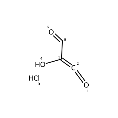 Cl.O=C=C(O)C=O